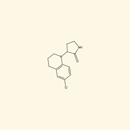 O=C1NCCC1N1CCCc2cc(Cl)ccc21